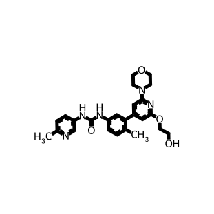 Cc1ccc(NC(=O)Nc2ccc(C)c(-c3cc(OCCO)nc(N4CCOCC4)c3)c2)cn1